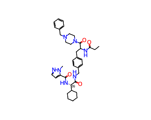 CCC(=O)NC(Cc1ccc(CNC(=O)[C@@H](NC(=O)c2ccnn2C)C2CCCCC2)cc1)C(=O)N1CCN(Cc2ccccc2)CC1